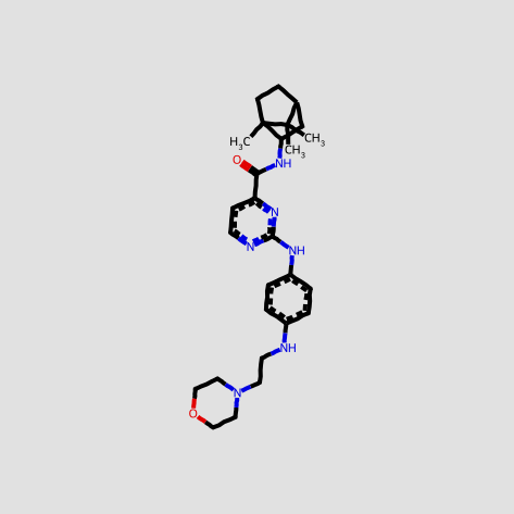 CC1(C)C2CCC1(C)C(NC(=O)c1ccnc(Nc3ccc(NCCN4CCOCC4)cc3)n1)C2